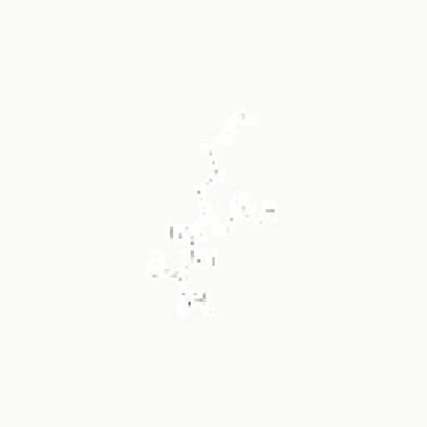 C#CCCCSNNC(N)=O.CS(=O)(=O)O